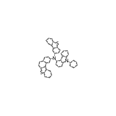 c1ccc(-n2c3ccccc3c3c(N(c4ccc5sc6ccccc6c5c4)c4ccc5ccc6sc7ccccc7c6c5c4)cccc32)cc1